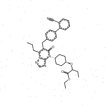 CCCc1c(Cc2ccc(-c3ccccc3C#N)cc2)c(=O)n([C@H]2CC[C@H](OC(CC)C(=O)OCC)CC2)c2ncnn12